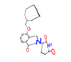 O=C1CCC(N2Cc3c(OCC4CCCCCC4)cccc3C2=O)C(=O)N1